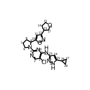 Clc1cnc(N2CCCC2c2cc(C3CCOC3)no2)nc1Nc1cc(C2CC2)[nH]n1